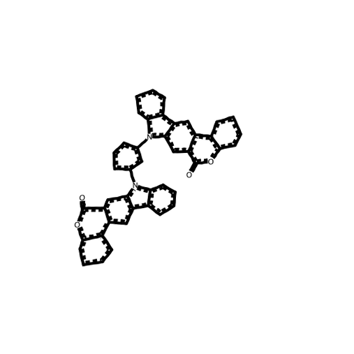 O=c1oc2ccccc2c2cc3c4ccccc4n(-c4cccc(-n5c6ccccc6c6cc7c(cc65)c(=O)oc5ccccc57)c4)c3cc12